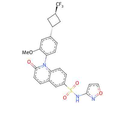 COc1cc([C@H]2C[C@H](C(F)(F)F)C2)ccc1-n1c(=O)ccc2cc(S(=O)(=O)Nc3ccon3)ccc21